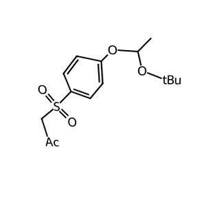 CC(=O)CS(=O)(=O)c1ccc(OC(C)OC(C)(C)C)cc1